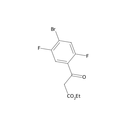 CCOC(=O)CC(=O)c1cc(F)c(Br)cc1F